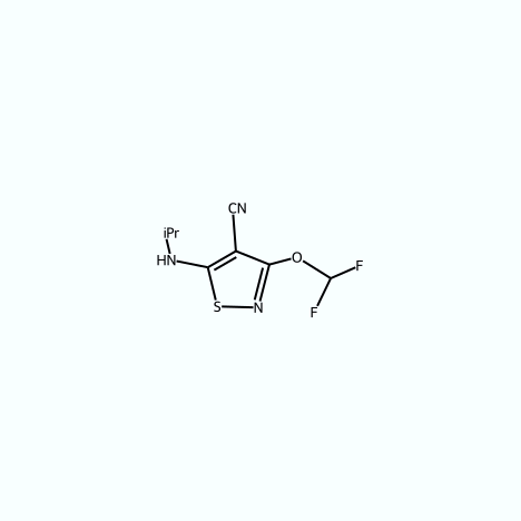 CC(C)Nc1snc(OC(F)F)c1C#N